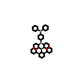 c1ccc(-c2cccc(-c3ccccc3)c2B2c3ccccc3N(c3ccc(N(c4ccccc4)c4ccccc4)cc3)c3ccccc32)cc1